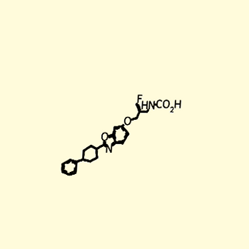 O=C(O)NCC(=CF)COc1ccc2nc(C3CCC(c4ccccc4)CC3)oc2c1